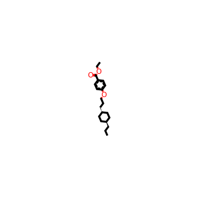 CCC[C@H]1CC[C@H](CCCOc2ccc(C(=O)OCC)cc2)CC1